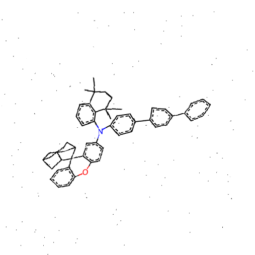 CC1(C)CCC(C)(C)c2c(N(c3ccc(-c4ccc(-c5ccccc5)cc4)cc3)c3ccc4c(c3)C3(c5ccccc5O4)C4CC5CC(C4)C3C5)cccc21